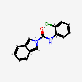 O=C(Nc1ccccc1Cl)n1cc2ccccc2c1